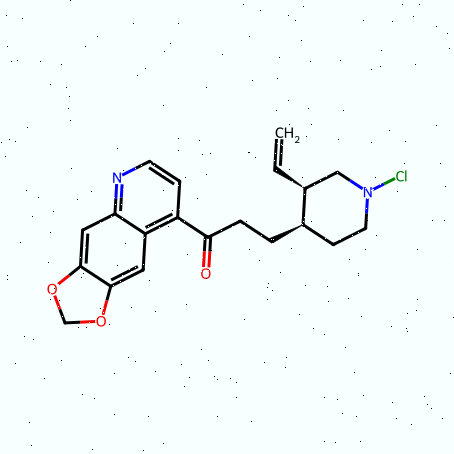 C=C[C@H]1CN(Cl)CC[C@H]1CCC(=O)c1ccnc2cc3c(cc12)OCO3